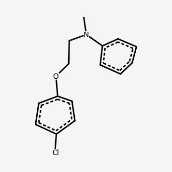 CN(CCOc1ccc(Cl)cc1)c1ccccc1